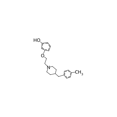 Cc1ccc(CC2CCN(CCOc3cccc(O)c3)CC2)cc1